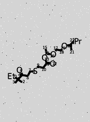 CCC(C)(C)C(=O)CCSCCC(=O)OC(C)OCCOC(C)C(C)C